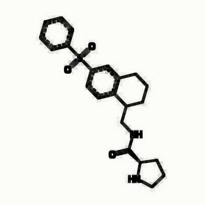 O=C(NCC1CCCc2cc(S(=O)(=O)c3ccccc3)ccc21)[C@H]1CCCN1